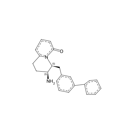 N[C@H]1CCc2cccc(=O)n2[C@H]1Cc1cccc(-c2ccccc2)c1